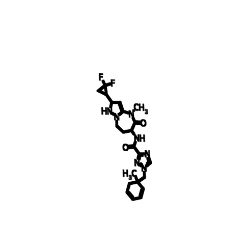 CN1C(=O)C(NC(=O)c2ncn(CC3(C)C=CC=CC3)n2)CCN2NC(C3CC3(F)F)C=C21